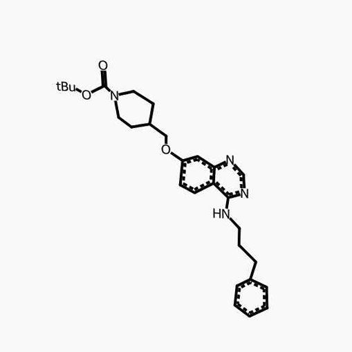 CC(C)(C)OC(=O)N1CCC(COc2ccc3c(NCCCc4ccccc4)ncnc3c2)CC1